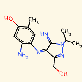 Cc1cc(N=C2C(=N)N(C(C)C)N=C2CO)c(N)cc1O